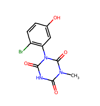 Cn1c(=O)[nH]c(=O)n(-c2cc(O)ccc2Br)c1=O